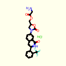 Cl.NCC(=O)OCC1CN(c2ccc3cc(-c4ccccc4C(F)(F)F)[nH]c(=O)c3c2)C(=O)O1